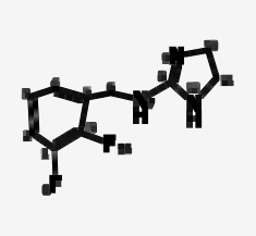 Fc1cccc(CNC2=NCCN2)c1F